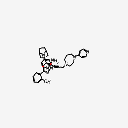 Nc1nnc(-c2ccccc2O)cc1N1CC2CCC(C1)N2c1ccnc(C#CCN2CCCN(c3ccncc3)CC2)c1